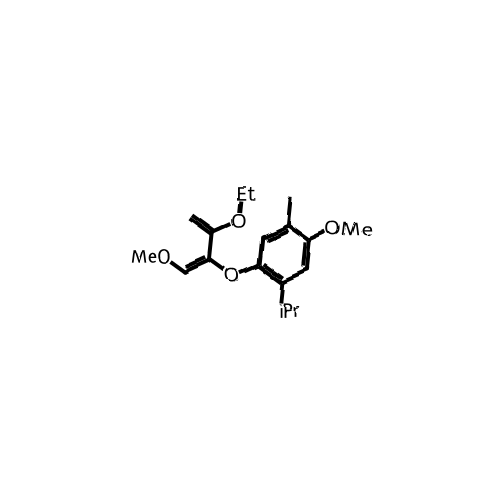 C=C(OCC)/C(=C\OC)Oc1cc(C)c(OC)cc1C(C)C